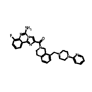 Nc1nc2c(F)cccc2c2nc(C(=O)N3CCc4cccc(CN5CCN(c6ccccn6)CC5)c4C3)cn12